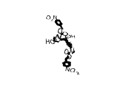 CN(CC[C@@H](O)[C@@H]1C[C@@H](O)CN1C(=O)OCc1ccc([N+](=O)[O-])cc1)C(=O)OCc1ccc([N+](=O)[O-])cc1